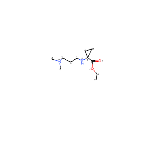 CCOC(=O)C1(NCCCN(C)C)CC1